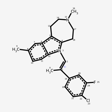 C/C(=C\n1c2c(c3cc(C)ccc31)CCN(C)CC2)c1ccc(Cl)c(F)c1